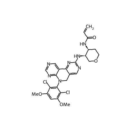 C=CC(=O)N[C@H]1CCOC[C@H]1Nc1ncc2c(n1)-c1cncnc1N(c1c(Cl)c(OC)cc(OC)c1Cl)C2